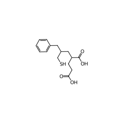 O=C(O)CCC(CC(CS)Cc1ccccc1)C(=O)O